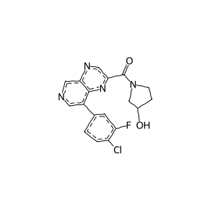 O=C(c1cnc2cncc(-c3ccc(Cl)c(F)c3)c2n1)N1CCC(O)C1